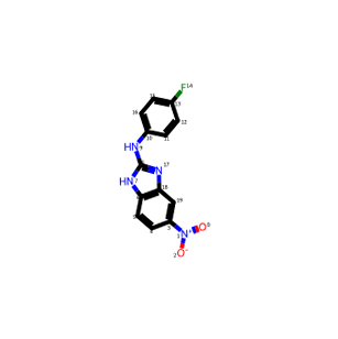 O=[N+]([O-])c1ccc2[nH]c(Nc3ccc(F)cc3)nc2c1